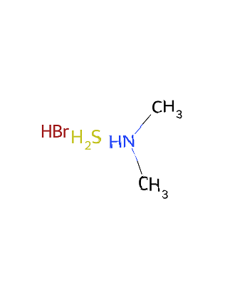 Br.CNC.S